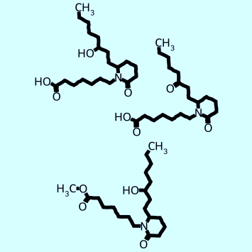 CCCCCC(=O)CCC1CCCC(=O)N1CCCCCCC(=O)O.CCCCCC(O)CCC1CCCC(=O)N1CCCCCCC(=O)O.CCCCCC(O)CCC1CCCC(=O)N1CCCCCCC(=O)OC